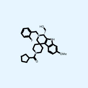 COc1ccc2c3c([nH]c2c1)[C@@H](CO)N(Cc1ccccc1F)CC31CCN(C(=O)C2CCCC2)CC1